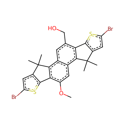 COc1cc2c3c(c(CO)cc2c2c1-c1sc(Br)cc1C2(C)C)-c1sc(Br)cc1C3(C)C